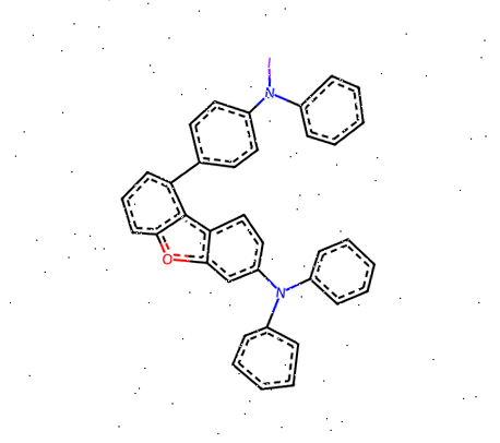 IN(c1ccccc1)c1ccc(-c2cccc3oc4cc(N(c5ccccc5)c5ccccc5)ccc4c23)cc1